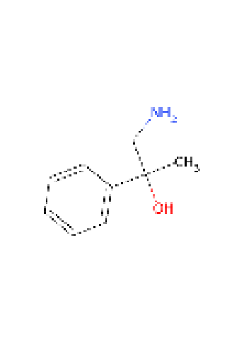 CC(O)(CN)c1ccccc1